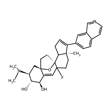 CN(C)[C@H]1C[C@@]23CC[C@]4(O2)C2CC=C(c5ccc6ccncc6c5)[C@@]2(C)CCC4(F)C=C3[C@@H](O)[C@@H]1O